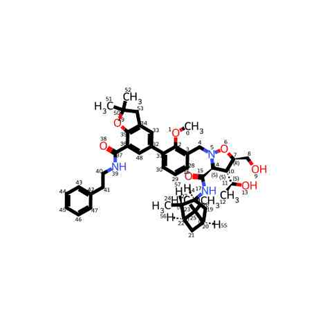 COc1c(CN2O[C@@H](CO)[C@H]([C@H](C)O)[C@H]2C(=O)N[C@H]2C[C@H]3C[C@@H]([C@@H]2C)C3(C)C)cccc1-c1cc2c(c(C(=O)NCCc3ccccc3)c1)OC(C)(C)C2